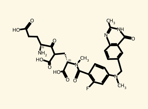 Cc1nc2ccc(CN(C)c3ccc(C(=O)N(C)[C@@H](CC(C(=O)O)C(=O)[C@@H](N)CCC(=O)O)C(=O)O)c(F)c3)cc2c(=O)[nH]1